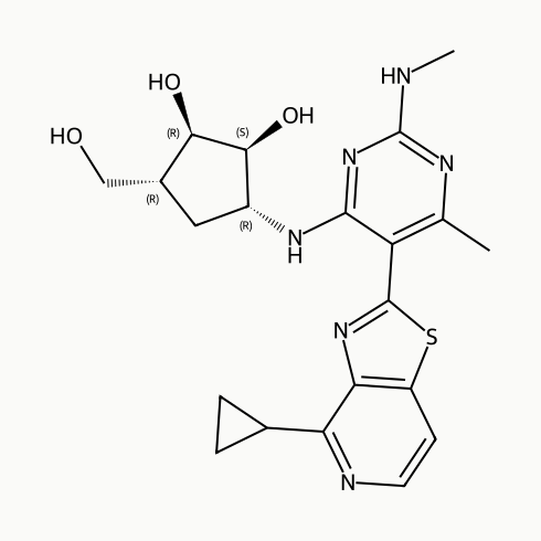 CNc1nc(C)c(-c2nc3c(C4CC4)nccc3s2)c(N[C@@H]2C[C@H](CO)[C@@H](O)[C@H]2O)n1